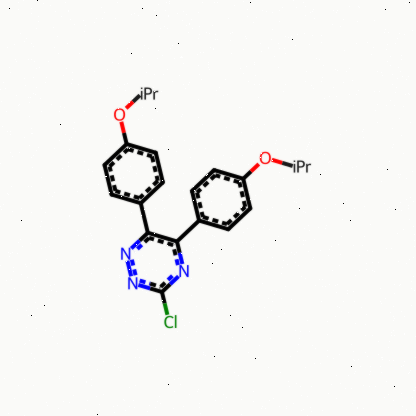 CC(C)Oc1ccc(-c2nnc(Cl)nc2-c2ccc(OC(C)C)cc2)cc1